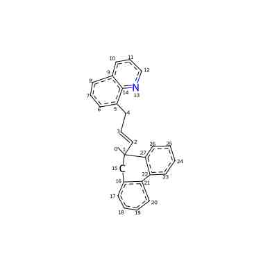 CC1(/C=C/Cc2cccc3cccnc23)Cc2ccccc2-c2ccccc21